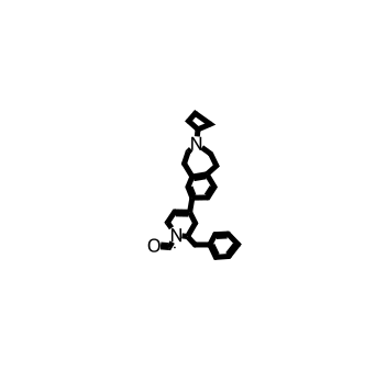 O=[C]N1CC=C(c2ccc3c(c2)CCN(C2CCC2)CC3)CC1Cc1ccccc1